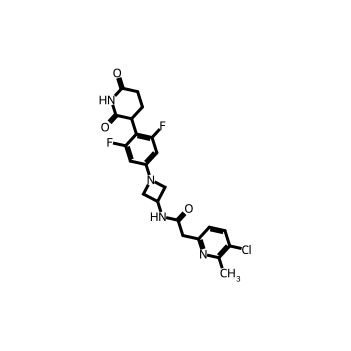 Cc1nc(CC(=O)NC2CN(c3cc(F)c(C4CCC(=O)NC4=O)c(F)c3)C2)ccc1Cl